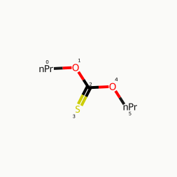 CCCOC(=S)OCCC